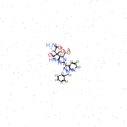 COC(=O)c1nc(-c2nn(Cc3ccccc3F)c3ncc(F)cc23)nc2c1C(C)(CC(N)=O)C(=O)N2